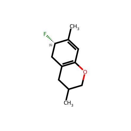 CC1=CC2=C(CC(C)CO2)C[C@@H]1F